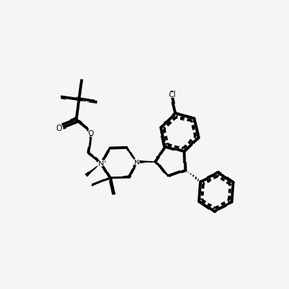 CC(C)(C)C(=O)OC[N@+]1(C)CCN([C@@H]2C[C@@H](c3ccccc3)c3ccc(Cl)cc32)CC1(C)C